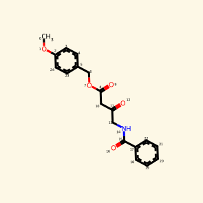 COc1ccc(COC(=O)CC(=O)CNC(=O)c2ccccc2)cc1